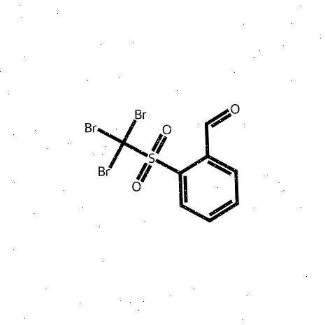 O=Cc1ccccc1S(=O)(=O)C(Br)(Br)Br